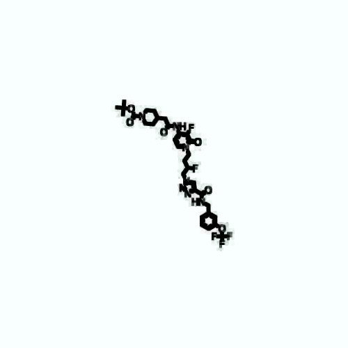 CC(C)(C)OC(=O)N1CCC(CC(=O)Nc2ccn(CCC(F)Cn3cc(C(=O)NCc4cccc(OC(F)(F)F)c4)nn3)c(=O)c2F)CC1